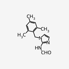 Cc1cc(C)c(Cn2ccnc2NC=O)c(C)c1